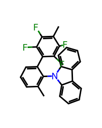 Cc1cccc(-c2c(F)c(F)c(C)c(F)c2F)c1-n1c2ccccc2c2ccccc21